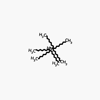 CCCCCCCCC(CCCCCCCC)(CCCCCCCC)NC(CCCCCCCC)(CCCCCCCC)CCCCCCCC